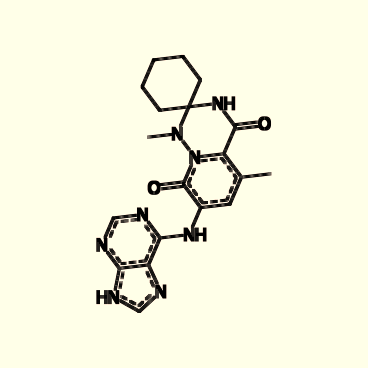 Cc1cc(Nc2ncnc3[nH]cnc23)c(=O)n2c1C(=O)NC1(CCCCC1)N2C